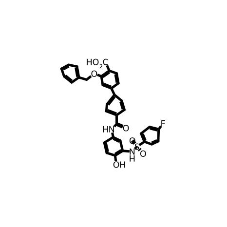 O=C(Nc1ccc(O)c(NS(=O)(=O)c2ccc(F)cc2)c1)c1ccc(-c2ccc(C(=O)O)c(OCc3ccccc3)c2)cc1